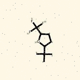 CC(C)(C)C1CCC(C(F)(F)F)O1